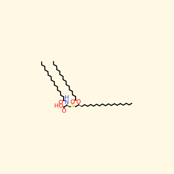 CCCCCCCCCCCCCCCCCC[C@@H](CSC[C@H](NC(=O)CCCCCCCCCCCCCCC)C(=O)O)OC(=O)CCCCCCCCCCCCCCC